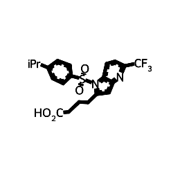 CC(C)c1ccc(S(=O)(=O)n2c(CCCC(=O)O)cc3nc(C(F)(F)F)ccc32)cc1